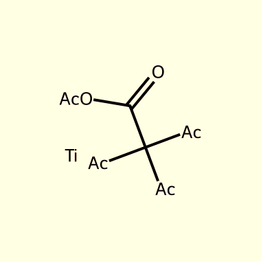 CC(=O)OC(=O)C(C(C)=O)(C(C)=O)C(C)=O.[Ti]